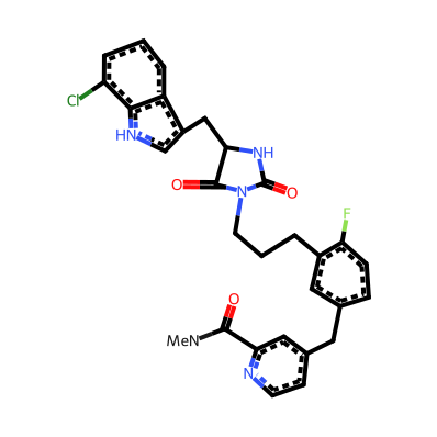 CNC(=O)c1cc(Cc2ccc(F)c(CCCN3C(=O)NC(Cc4c[nH]c5c(Cl)cccc45)C3=O)c2)ccn1